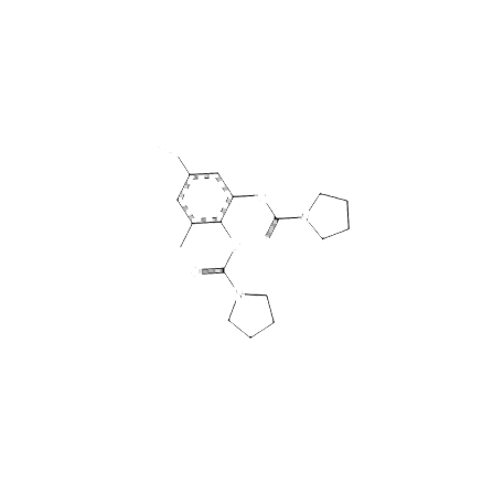 Cc1cc(C(C)(C)C)cc(OC(=O)N2CCCC2)c1OC(=O)N1CCCC1